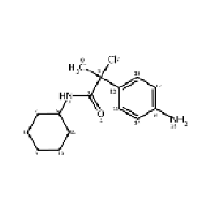 CC(Cl)(C(=O)NC1CCCCC1)c1ccc(N)cc1